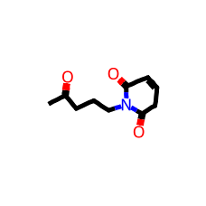 CC(=O)CCCN1C(=O)C=CCC1=O